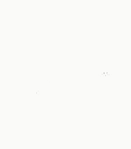 COc1cccc2c1CCc1ccccc1C2=O